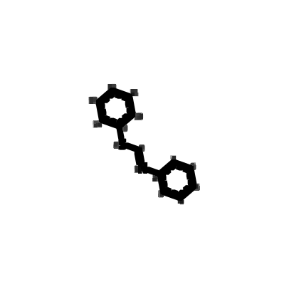 C(=N\c1ccccc1)/Sc1ccccc1